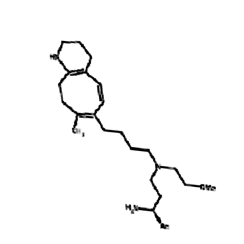 COCCN(CCCCC1=C(\C)CCC2=C(/C=C\1)CCCN2)CC[C@H](N)C(C)=O